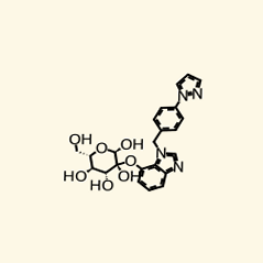 OC[C@@H]1O[C@@H](O)[C@](O)(Oc2cccc3ncn(Cc4ccc(-n5cccn5)cc4)c23)[C@H](O)[C@H]1O